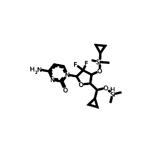 C[SiH](C)OC(C1CC1)C1OC(n2ccc(N)nc2=O)C(F)(F)C1O[Si](C)(C)C1CC1